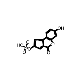 O=c1oc2cc(O)ccc2c2ccc(OP(=O)(O)O)cc12